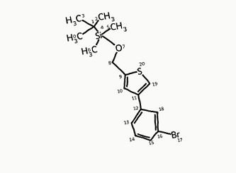 CC(C)(C)[Si](C)(C)OCc1cc(-c2cccc(Br)c2)cs1